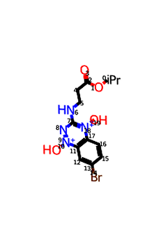 CC(C)OC(=O)CCNc1n[n+](O)c2cc(Br)ccc2[n+]1O